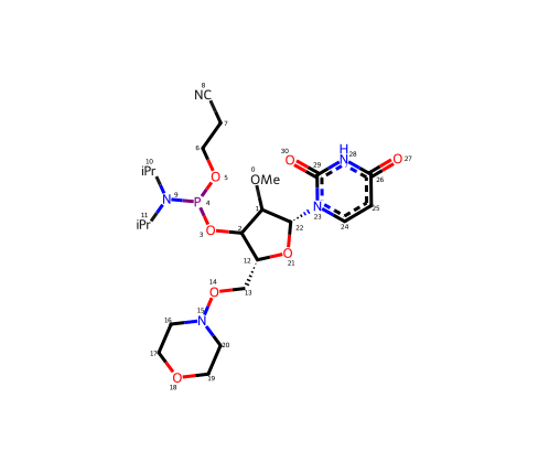 COC1C(OP(OCCC#N)N(C(C)C)C(C)C)[C@@H](CON2CCOCC2)O[C@H]1n1ccc(=O)[nH]c1=O